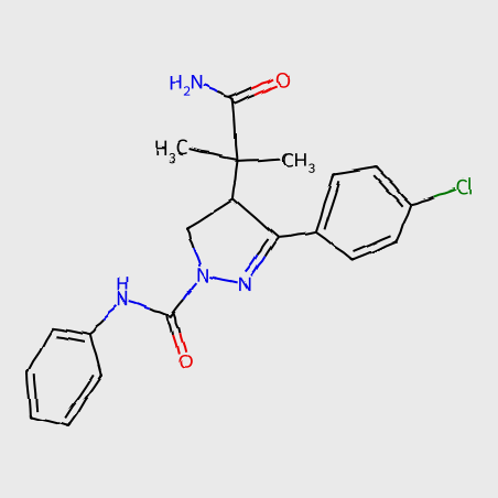 CC(C)(C(N)=O)C1CN(C(=O)Nc2ccccc2)N=C1c1ccc(Cl)cc1